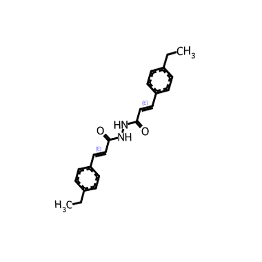 CCc1ccc(/C=C/C(=O)NNC(=O)/C=C/c2ccc(CC)cc2)cc1